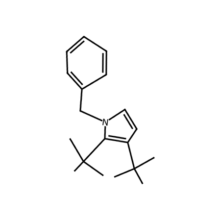 CC(C)(C)c1ccn(Cc2ccccc2)c1C(C)(C)C